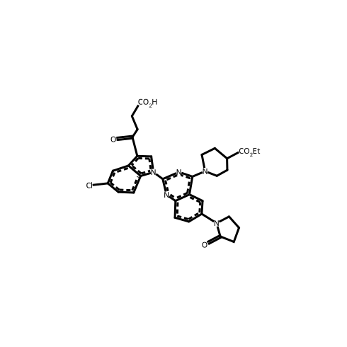 CCOC(=O)C1CCN(c2nc(-n3cc(C(=O)CCC(=O)O)c4cc(Cl)ccc43)nc3ccc(N4CCCC4=O)cc23)CC1